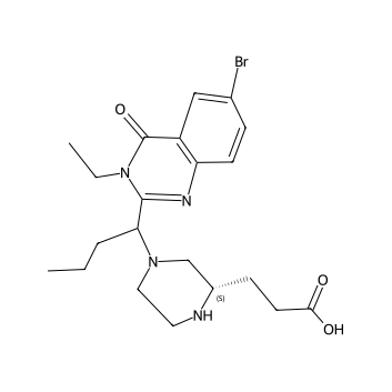 CCCC(c1nc2ccc(Br)cc2c(=O)n1CC)N1CCN[C@@H](CCC(=O)O)C1